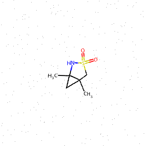 CC12CC1(C)NS(=O)(=O)C2